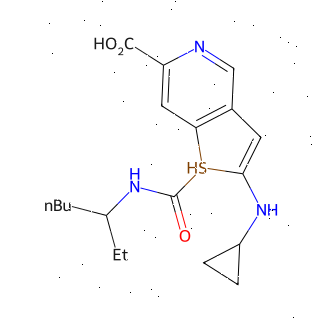 CCCCC(CC)NC(=O)[SH]1C(NC2CC2)=Cc2cnc(C(=O)O)cc21